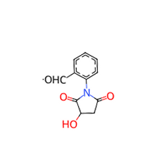 O=[C]c1ccccc1N1C(=O)CC(O)C1=O